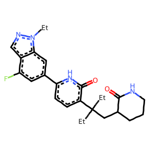 CCn1ncc2c(F)cc(-c3ccc(C(CC)(CC)CC4CCCNC4=O)c(=O)[nH]3)cc21